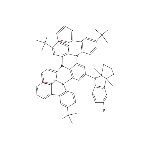 CC(C)(C)c1ccc2c(c1)B1c3ccccc3N(c3ccc(C(C)(C)C)cc3-c3ccccc3)c3cc(N4c5ccc(F)cc5C5(C)CCCC45C)cc(c31)N2c1ccc(C(C)(C)C)cc1-c1ccccc1